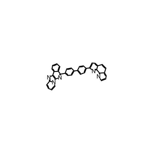 c1cnc2c(c1)ccc1ccc(-c3ccc(-c4ccc(-c5nc6c(nc7ccccn76)c6ccccc56)cc4)cc3)nc12